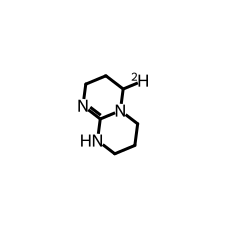 [2H]C1CCN=C2NCCCN21